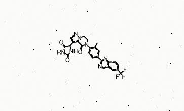 Cc1cc(-c2ncc3cc(C(F)(F)F)ccc3n2)ccc1N1CCn2ncc(C3NC(=O)NC3=O)c2C1=O